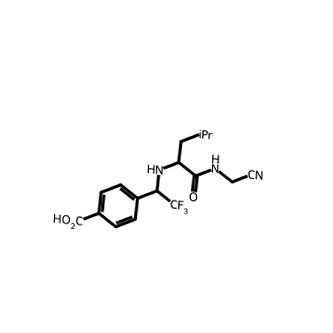 CC(C)CC(NC(c1ccc(C(=O)O)cc1)C(F)(F)F)C(=O)NCC#N